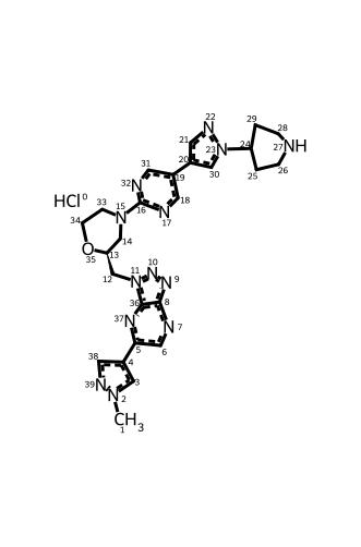 Cl.Cn1cc(-c2cnc3nnn(C[C@@H]4CN(c5ncc(-c6cnn(C7CCNCC7)c6)cn5)CCO4)c3n2)cn1